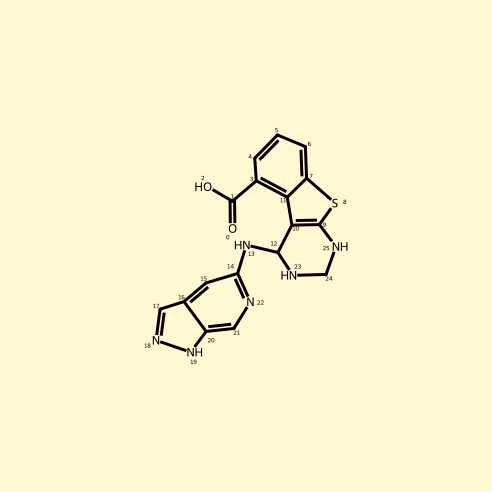 O=C(O)c1cccc2sc3c(c12)C(Nc1cc2cn[nH]c2cn1)NCN3